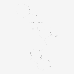 CC(C)(C(=O)N1CCOCC1)S(=O)(=O)CC(Cc1cccc2ccccc12)C(=O)O